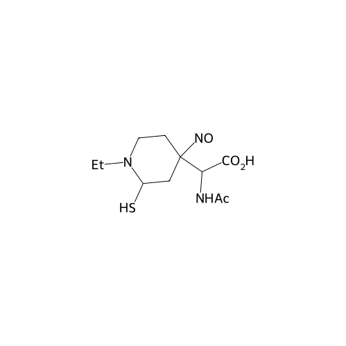 CCN1CCC(N=O)(C(NC(C)=O)C(=O)O)CC1S